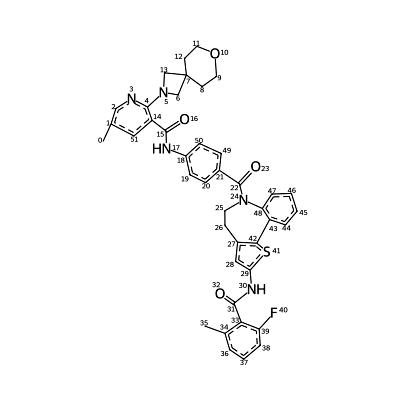 Cc1cnc(N2CC3(CCOCC3)C2)c(C(=O)Nc2ccc(C(=O)N3CCc4cc(NC(=O)c5c(C)cccc5F)sc4-c4ccccc43)cc2)c1